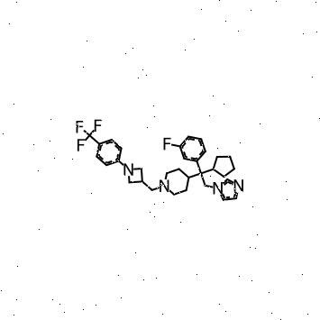 Fc1cccc(C(Cn2ccnc2)(C2CCCC2)C2CCN(CC3CN(c4ccc(C(F)(F)F)cc4)C3)CC2)c1